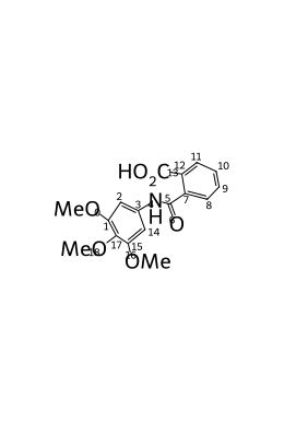 COc1cc(NC(=O)c2ccccc2C(=O)O)cc(OC)c1OC